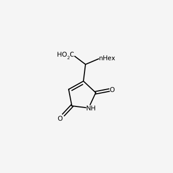 CCCCCCC(C(=O)O)C1=CC(=O)NC1=O